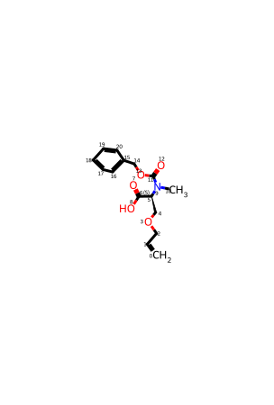 C=CCOC[C@@H](C(=O)O)N(C)C(=O)OCc1ccccc1